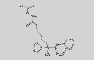 CCC(=O)ONC(=O)CCCCCC(C#N)(c1ccc2ccccc2n1)c1cccs1